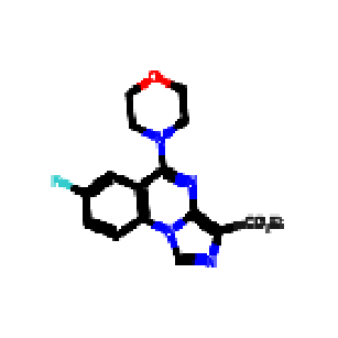 CCOC(=O)c1ncn2c1nc(N1CCOCC1)c1cc(F)ccc12